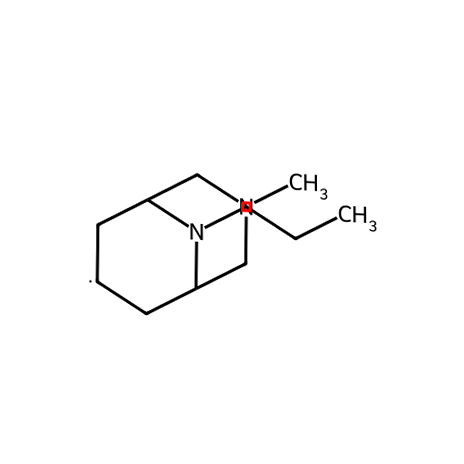 CCCN1C2C[CH]CC1CN(C)C2